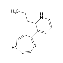 CCCC1NC=CC=C1C1=NC=CNC=C1